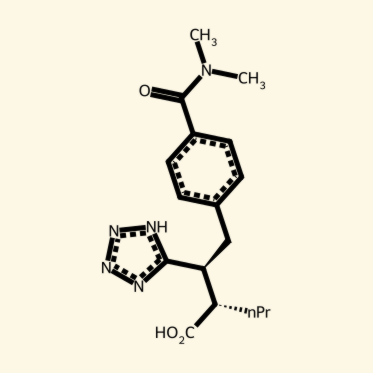 CCC[C@H](C(=O)O)[C@H](Cc1ccc(C(=O)N(C)C)cc1)c1nnn[nH]1